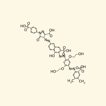 Cc1cc(/N=N/c2cc(OCCO)c(/N=N/c3c(S(=O)(=O)O)cc4cc(/N=N/C5C(=O)N(c6ccc(S(=O)(=O)O)cc6)N=C5C(=O)O)ccc4c3O)cc2OCCO)c(S(=O)(=O)O)cc1C